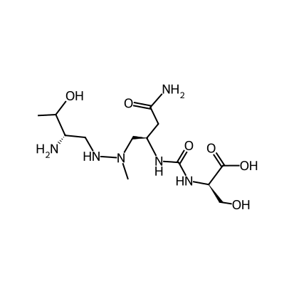 CC(O)[C@@H](N)CNN(C)C[C@@H](CC(N)=O)NC(=O)N[C@H](CO)C(=O)O